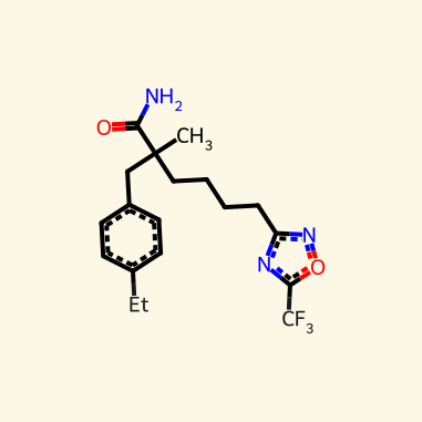 CCc1ccc(CC(C)(CCCCc2noc(C(F)(F)F)n2)C(N)=O)cc1